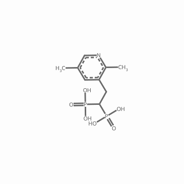 Cc1cnc(C)c(CC(P(=O)(O)O)P(=O)(O)O)c1